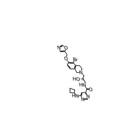 O=C(NC[C@H](O)CN1CCc2c(ccc(OCc3cnco3)c2Br)C1)c1cc(NC2CCC2)ncn1